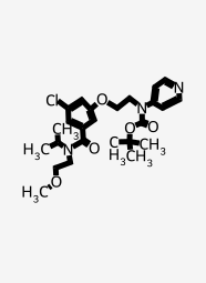 COCCN(C(=O)c1cc(Cl)cc(OCCN(C(=O)OC(C)(C)C)c2ccncc2)c1)C(C)C